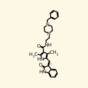 Cc1[nH]c(/C=C2\C(=O)Nc3ccccc32)c(C)c1C(=O)NCCN1CCN(Cc2ccccc2)CC1